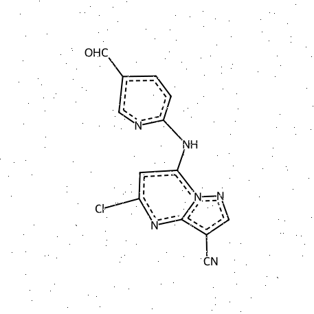 N#Cc1cnn2c(Nc3ccc(C=O)cn3)cc(Cl)nc12